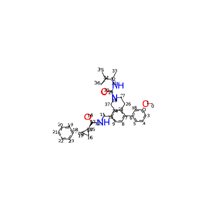 COc1cccc(-c2ccc(CNC(=O)[C@H]3C[C@@H]3c3ccccc3)c3c2CCN(C(=O)NC(C)C(C)C)C3)c1